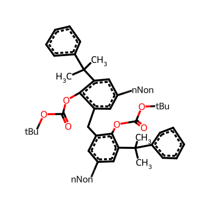 CCCCCCCCCc1cc(Cc2cc(CCCCCCCCC)cc(C(C)(C)c3ccccc3)c2OC(=O)OC(C)(C)C)c(OC(=O)OC(C)(C)C)c(C(C)(C)c2ccccc2)c1